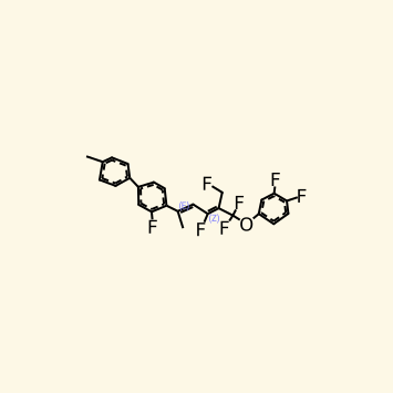 C/C(=C\C(F)=C(/CF)C(F)(F)Oc1ccc(F)c(F)c1)c1ccc(-c2ccc(C)cc2)cc1F